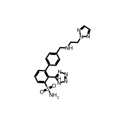 NS(=O)(=O)c1cccc(-c2ccc(CNCCn3nccn3)cc2)c1-c1nnn[nH]1